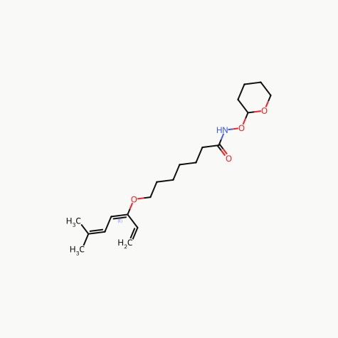 C=C/C(=C\C=C(C)C)OCCCCCCC(=O)NOC1CCCCO1